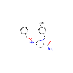 COc1ccc(CN2C[C@H](NOCc3ccccc3)CC[C@H]2C(N)=O)cc1